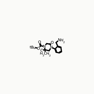 CC(C)(C)OC(=O)N1CC(=O)N(c2ccccc2CN)CC1(C)C